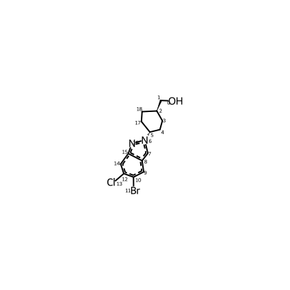 OC[C@H]1CC[C@H](n2cc3cc(Br)c(Cl)cc3n2)CC1